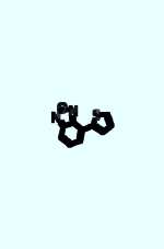 c1csc(-c2cccc3nonc23)c1